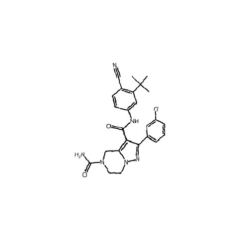 CC(C)(C)c1cc(NC(=O)c2c(-c3cccc(Cl)c3)nn3c2CN(C(N)=O)CC3)ccc1C#N